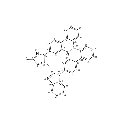 Cc1cc(C)n(-c2ccc3c(c2)B2c4cc(-n5cnc6ccccc65)ccc4-c4ccccc4N2c2ccccc2-3)n1